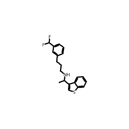 CC(NCCCc1cccc(C(F)F)c1)c1csc2ccccc12